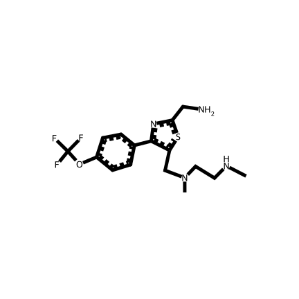 CNCCN(C)Cc1sc(CN)nc1-c1ccc(OC(F)(F)F)cc1